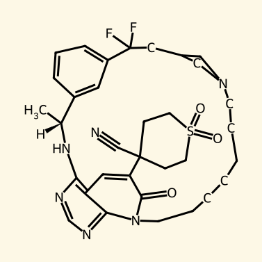 C[C@H]1Nc2ncnc3c2cc(C2(C#N)CCS(=O)(=O)CC2)c(=O)n3CCCCCCCN2CC(C2)CC(F)(F)c2cccc1c2